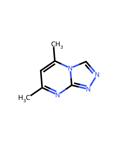 Cc1cc(C)n2cnnc2n1